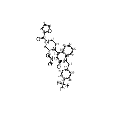 O=C(c1ccco1)N1CCN(c2c([N+](=O)[O-])c(=O)n(Cc3ccc(C(F)(F)F)cc3)c3ccccc23)CC1